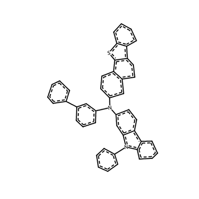 c1ccc(-c2cccc(N(c3ccc4c(ccc5c6ccccc6sc45)c3)c3ccc4c5ccccc5n(-c5ccccc5)c4c3)c2)cc1